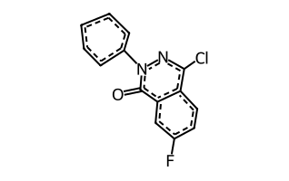 O=c1c2cc(F)ccc2c(Cl)nn1-c1ccccc1